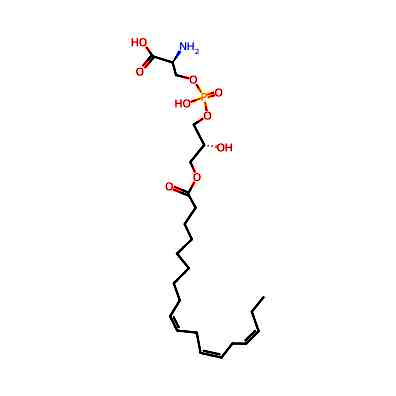 CC/C=C\C/C=C\C/C=C\CCCCCCCC(=O)OC[C@@H](O)COP(=O)(O)OC[C@H](N)C(=O)O